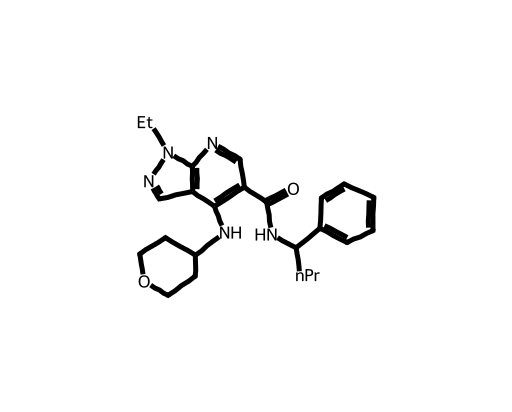 CCCC(NC(=O)c1cnc2c(cnn2CC)c1NC1CCOCC1)c1ccccc1